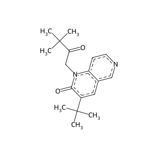 CC(C)(C)C(=O)Cn1c(=O)c(C(C)(C)C)cc2cnccc21